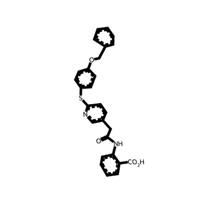 O=C(Cc1ccc(Sc2ccc(OCc3ccccc3)cc2)nc1)Nc1ccccc1C(=O)O